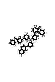 c1cc(-c2ccc3ccccc3c2)cc(N(c2cccc(-c3ccc4c(c3)sc3ccccc34)c2)c2cccc(-c3cccc4oc5ccccc5c34)c2)c1